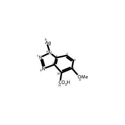 COc1ccc2c(nn[n]2[Ag])c1C(=O)O